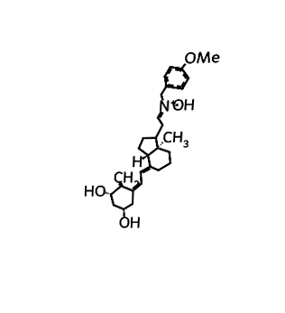 C=C1/C(=C\C=C2/CCC[C@]3(C)C(C/C=[N+](\O)Cc4ccc(OC)cc4)CC[C@@H]23)C[C@@H](O)C[C@@H]1O